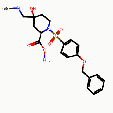 CCCCNC[C@]1(O)CCN(S(=O)(=O)c2ccc(OCc3ccccc3)cc2)[C@@H](C(=O)ON)C1